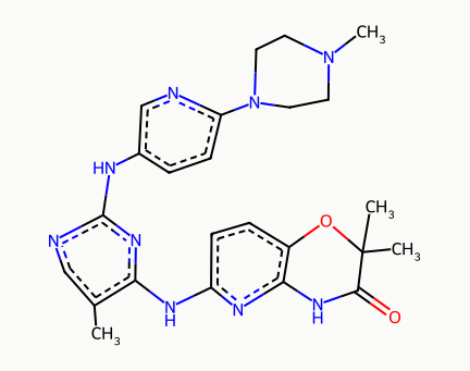 Cc1cnc(Nc2ccc(N3CCN(C)CC3)nc2)nc1Nc1ccc2c(n1)NC(=O)C(C)(C)O2